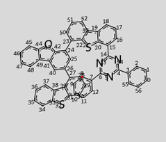 c1ccc(-c2nc(-c3ccccc3)nc(-c3cccc4c3sc3c(-c5cc(-c6cccc7sc8ccccc8c67)cc6c5oc5ccccc56)cccc34)n2)cc1